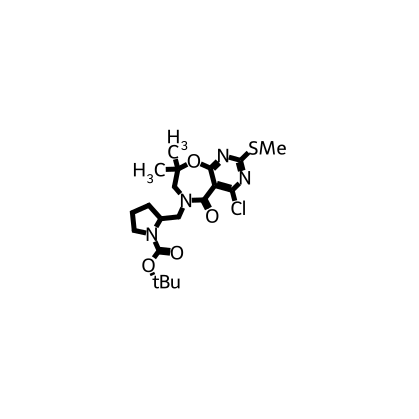 CSc1nc(Cl)c2c(n1)OC(C)(C)CN(CC1CCCN1C(=O)OC(C)(C)C)C2=O